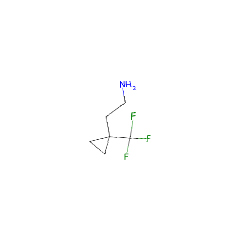 NCCC1(C(F)(F)F)CC1